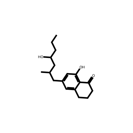 CCCC(O)CC(C)Cc1cc(O)c2c(c1)CCCC2=O